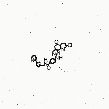 O=C1Cc2cnc(Nc3ccc(C(=O)NCc4ccc(-c5ccccn5)s4)cc3)nc2C2=C1CC=C(Cl)C=N2